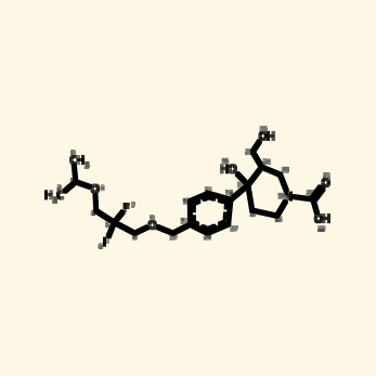 CC(C)OCC(F)(F)COCc1ccc(C2(O)CCN(C(=O)O)CC2CO)cc1